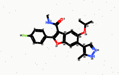 CNC(=O)c1c(-c2ccc(F)cc2)oc2cc(-c3cn[nH]c3C)c(OC(C)C)cc12